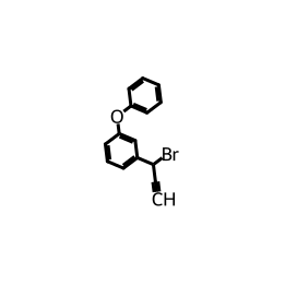 C#CC(Br)c1cccc(Oc2ccccc2)c1